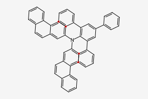 c1ccc(-c2cc(-c3ccccc3)c(N(c3ccc4c(ccc5ccccc54)c3)c3ccc4c(ccc5ccccc54)c3)c(-c3ccccc3)c2)cc1